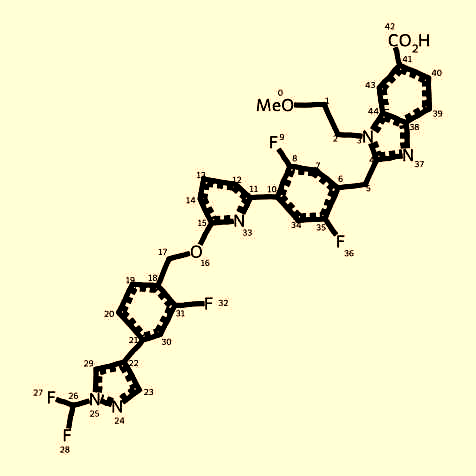 COCCn1c(Cc2cc(F)c(-c3cccc(OCc4ccc(-c5cnn(C(F)F)c5)cc4F)n3)cc2F)nc2ccc(C(=O)O)cc21